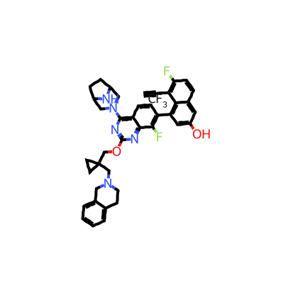 C#Cc1c(F)ccc2cc(O)cc(-c3c(C(F)(F)F)cc4c(N5CC6CCC(C5)N6)nc(OCC5(CN6CCc7ccccc7C6)CC5)nc4c3F)c12